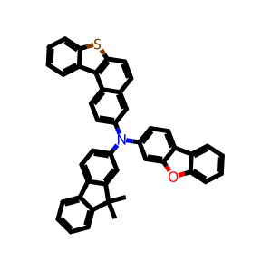 CC1(C)c2ccccc2-c2ccc(N(c3ccc4c(ccc5sc6ccccc6c54)c3)c3ccc4c(c3)oc3ccccc34)cc21